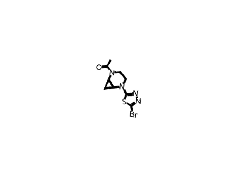 CC(=O)N1CCN(c2nnc(Br)s2)C2CC21